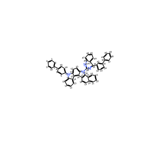 c1ccc(-c2ccc(-n3c4ccccc4c4c5c6ccc7ccccc7c6n(-c6nc(-c7cccc(-c8ccccc8)c7)c7ccccc7n6)c5ccc43)cc2)cc1